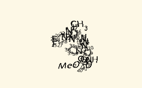 COC(=O)C1(S(=O)(=O)Nc2ccc(-n3cc(-c4cc(C)nc(N5CCC(F)(F)CC5)n4)nn3)c(N3CCCCC3)c2)CC1